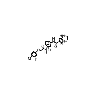 O=C(COc1ccc(Cl)c(F)c1)N[C@H]1CC(NC(=O)c2cc3n(n2)CCCN3)C2CC1C2